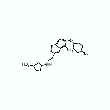 CCC1CCC(Oc2ccc3ccc(CCNC4CCC(C(=O)O)C4)cc3c2C(F)(F)F)CC1